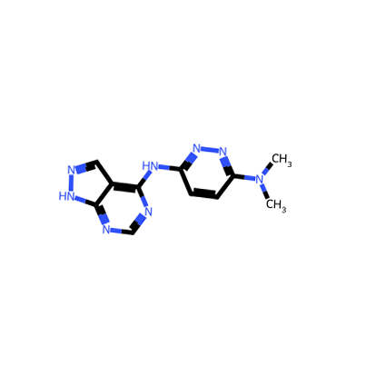 CN(C)c1ccc(Nc2ncnc3[nH]ncc23)nn1